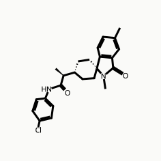 Cc1ccc2c(c1)C(=O)N(C)[C@]21CC[C@@H]([C@H](C)C(=O)Nc2ccc(Cl)cc2)CC1